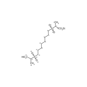 CCOC(=O)C(C)S(=O)(=O)CCCCCCCCS(=O)(=O)C(C)C(=O)O